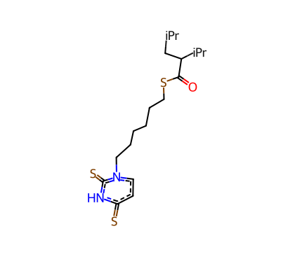 CC(C)CC(C(=O)SCCCCCCn1ccc(=S)[nH]c1=S)C(C)C